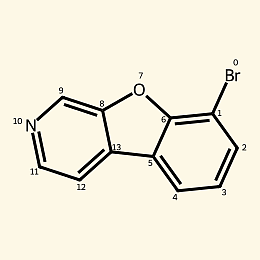 Brc1cccc2c1oc1cnccc12